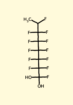 CC(F)C(F)(F)C(F)(F)C(F)(F)C(F)(F)C(F)(F)C(O)(O)F